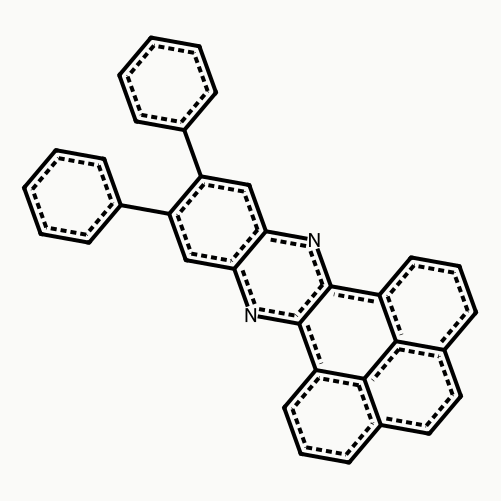 c1ccc(-c2cc3nc4c5cccc6ccc7cccc(c4nc3cc2-c2ccccc2)c7c65)cc1